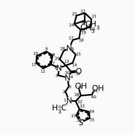 CN(CCN1CN(c2ccccc2)C2(CCN(CCC3CCC4CC3C4(C)C)CC2)C1=O)C(c1ccsc1)C(O)CO